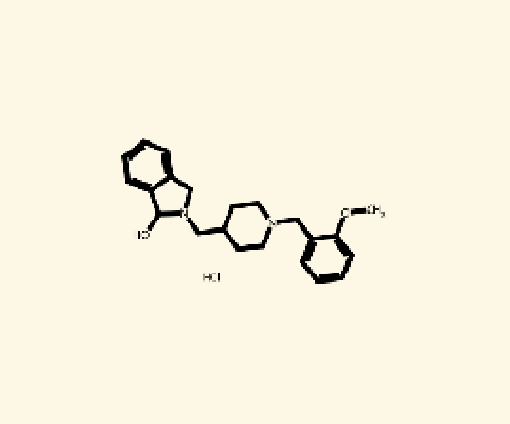 COc1ccccc1CN1CCC(CN2Cc3ccccc3C2O)CC1.Cl